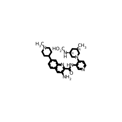 C[C@@H]1C[C@H](NC(=O)O)CN(c2ccncc2NC(=O)c2nc3cc(C4CCN(C)CC4)ccc3cc2N)C1